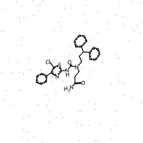 NC(=O)CCN(CCC(c1ccccc1)c1ccccc1)C(=O)Nc1nc(-c2ccccc2)c(Cl)s1